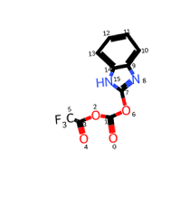 O=C(OC(=O)C(F)(F)F)Oc1nc2ccccc2[nH]1